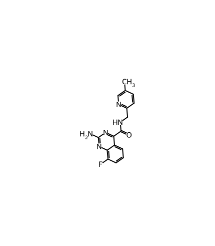 Cc1ccc(CNC(=O)c2nc(N)nc3c(F)cccc23)nc1